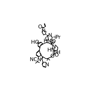 C=CC(=O)N1CC[C@H](C(=O)N(C)[C@H](C(=O)N[C@H]2Cc3cc(O)cc(c3)-c3ccc4c(c3)c(c(-c3cccnc3)n4C(C)(C)C#N)CC(C)(C)COC(=O)[C@@]3(O)CCCN(N3)C2=O)C(C)C)C1